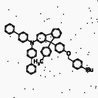 CCC(C)c1ccc(COc2ccc(C3(c4ccc(C)cc4)c4ccccc4-c4ccc(N(c5ccc(-c6ccccc6)cc5)c5ccc(-c6ccccc6)cc5)cc43)cc2)cc1